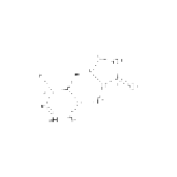 CCC1C(=O)OC[C@@H]1CC1C=CN=CN1C